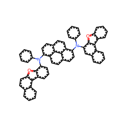 c1ccc(N(c2ccc3ccc4c(N(c5ccccc5)c5cc6ccccc6c6c5oc5ccccc56)ccc5ccc2c3c54)c2cccc3c2oc2ccc4ccccc4c23)cc1